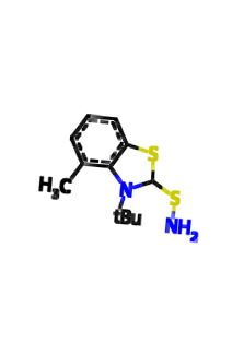 Cc1cccc2c1N(C(C)(C)C)C(SN)S2